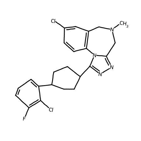 CN1Cc2cc(Cl)ccc2-n2c(nnc2C2CCC(c3cccc(F)c3Cl)CC2)C1